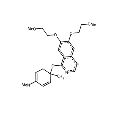 CNC1=CCC(C)(Oc2ncnc3cc(OCCOC)c(OCCOC)cc23)C=C1